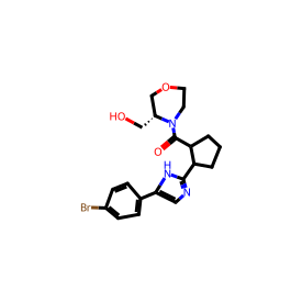 O=C(C1CCCC1c1ncc(-c2ccc(Br)cc2)[nH]1)N1CCOC[C@H]1CO